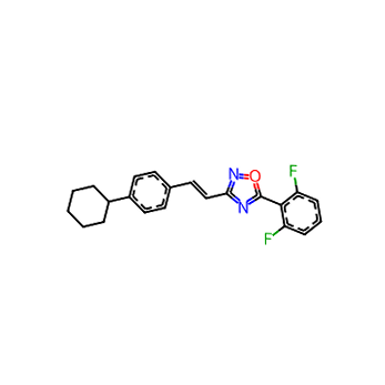 Fc1cccc(F)c1-c1nc(C=Cc2ccc(C3CCCCC3)cc2)no1